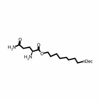 CCCCCCCCCCCCCCCCCCOC(=O)[C@@H](N)CCC(N)=O